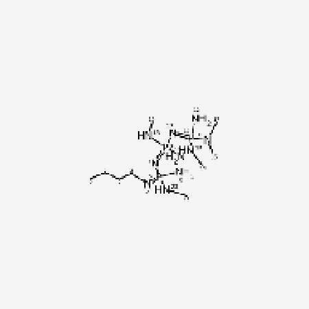 CCCCN=P(N)(N=P(N)(N=P(N)(NC)N(C)C)NC)NC